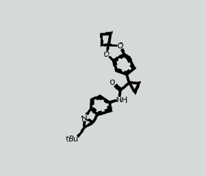 CC(C)(C)C1C2c3cc(NC(=O)C4(c5ccc6c(c5)OC5(CCC5)O6)CC4)ccc3N21